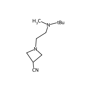 CN(CCN1CC(C#N)C1)C(C)(C)C